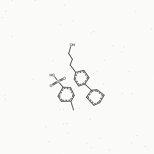 Cc1ccc(S(=O)(=O)O)cc1.OCCCc1ccc(-c2ccccc2)cc1